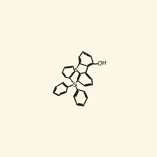 Oc1cccc2sc3c([Si](c4ccccc4)(c4ccccc4)c4ccccc4)cccc3c12